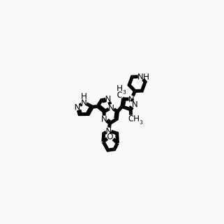 Cc1nn(C2CCNCC2)c(C)c1-c1cc(N2CC3CCC(C2)O3)nc2c(-c3ccn[nH]3)cnn12